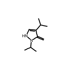 C=C1C(C(C)C)=CNN1C(C)C